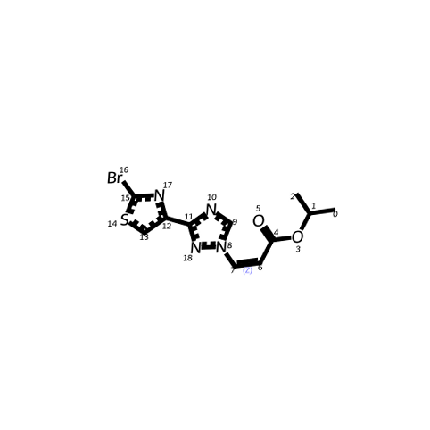 CC(C)OC(=O)/C=C\n1cnc(-c2csc(Br)n2)n1